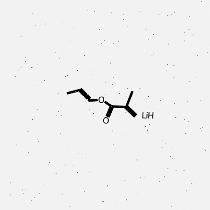 C=C(C)C(=O)OC=CC.[LiH]